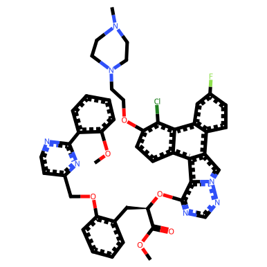 COC(=O)[C@@H](Cc1ccccc1OCc1ccnc(-c2ccccc2OC)n1)Oc1ncnn2cc3c4ccc(F)cc4c4c(Cl)c(OCCN5CCN(C)CC5)ccc4c3c12